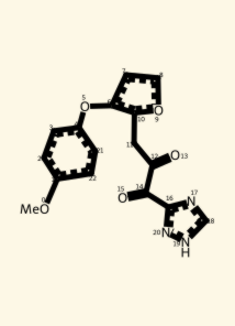 COc1ccc(Oc2ccoc2CC(=O)C(=O)c2nc[nH]n2)cc1